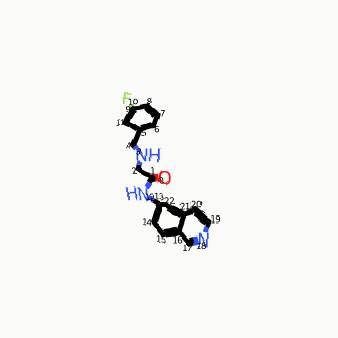 O=C(CNCc1cccc(F)c1)Nc1ccc2cnccc2c1